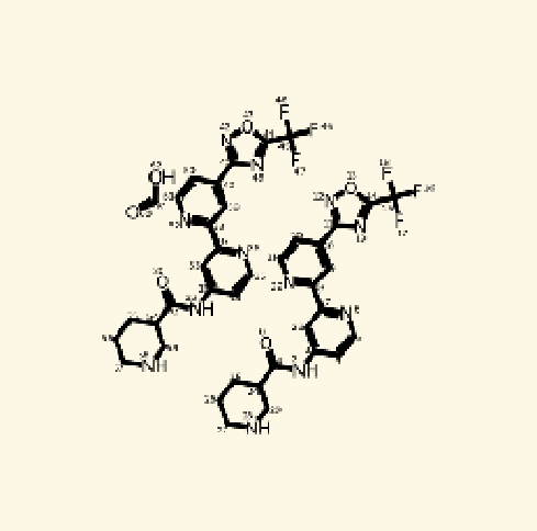 O=C(Nc1ccnc(-c2cc(-c3noc(C(F)(F)F)n3)ccn2)c1)C1CCCNC1.O=C(Nc1ccnc(-c2cc(-c3noc(C(F)(F)F)n3)ccn2)c1)C1CCCNC1.O=CO